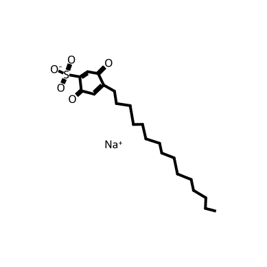 CCCCCCCCCCCCCCCC1=CC(=O)C(S(=O)(=O)[O-])=CC1=O.[Na+]